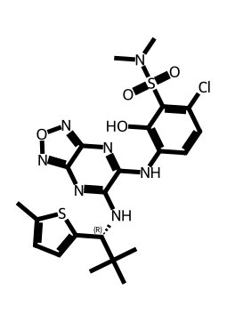 Cc1ccc([C@H](Nc2nc3nonc3nc2Nc2ccc(Cl)c(S(=O)(=O)N(C)C)c2O)C(C)(C)C)s1